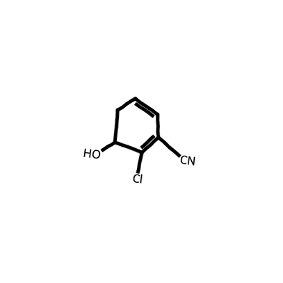 N#CC1=C(Cl)C(O)CC=C1